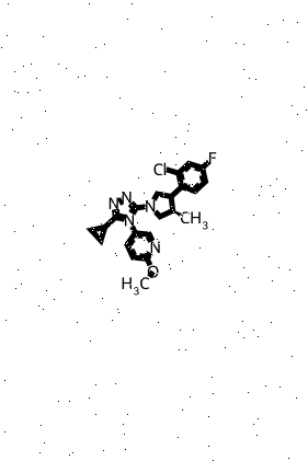 COc1ccc(-n2c(C3CC3)nnc2N2CC(c3ccc(F)cc3Cl)[C@@H](C)C2)cn1